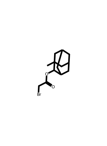 CC12CC3CC(CC(C3)C1OC(=O)CBr)C2